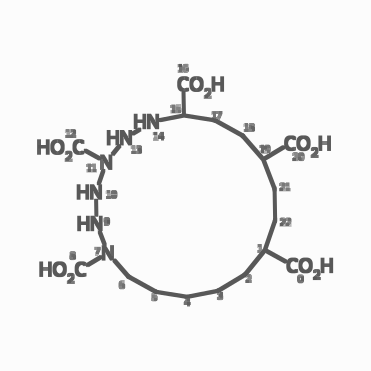 O=C(O)C1CCCCCN(C(=O)O)NNN(C(=O)O)NNC(C(=O)O)CCC(C(=O)O)CC1